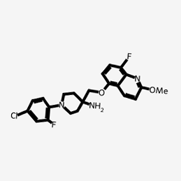 COc1ccc2c(OCC3(N)CCN(c4ccc(Cl)cc4F)CC3)ccc(F)c2n1